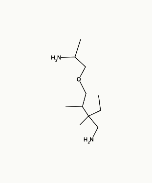 CCC(C)(CN)C(C)COCC(C)N